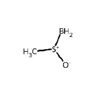 B[S+](C)[O-]